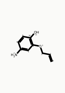 C=CCOc1cc(N)ccc1O